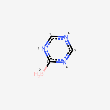 Bc1ncncn1